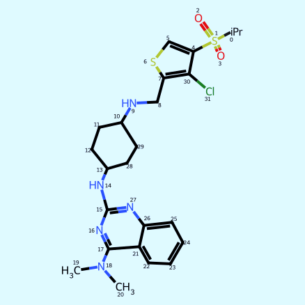 CC(C)S(=O)(=O)c1csc(CNC2CCC(Nc3nc(N(C)C)c4ccccc4n3)CC2)c1Cl